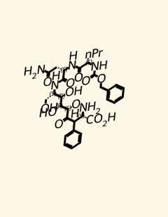 CCC[C@H](NC(=O)OCc1ccccc1)C(=O)N[C@@H](CC(N)=O)C(=O)N[C@@H](CO)[C@@H](O)[C@@H](O)[C@H](O)C(=O)C(c1ccccc1)[C@H](N)C(=O)O